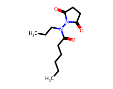 CCCCCC(=O)N(CCC)N1C(=O)CCC1=O